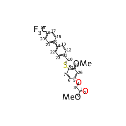 COC(=O)COc1ccc(SCc2ccc(-c3ccc(C(F)(F)F)cc3)cc2)c(OC)c1